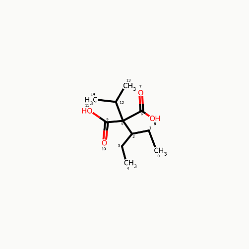 CCC(CC)C(C(=O)O)(C(=O)O)C(C)C